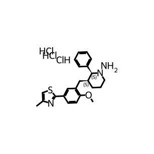 COc1ccc(-c2nc(C)cs2)cc1C[C@@H]1CCCN(N)[C@@H]1c1ccccc1.Cl.Cl.Cl